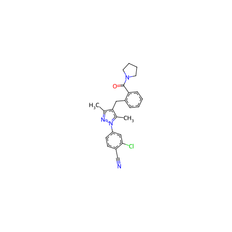 Cc1nn(-c2ccc(C#N)c(Cl)c2)c(C)c1Cc1ccccc1C(=O)N1CCCC1